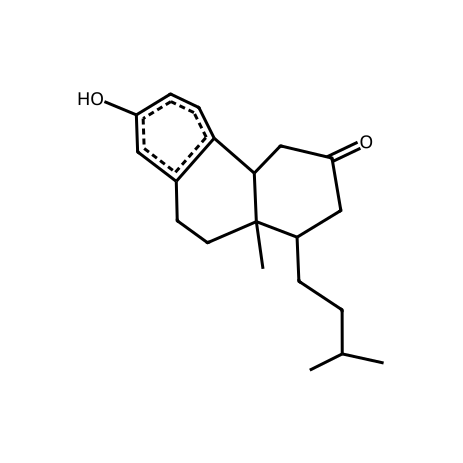 CC(C)CCC1CC(=O)CC2c3ccc(O)cc3CCC12C